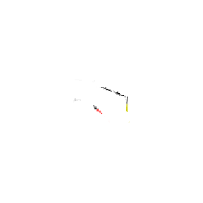 O=C(O)CS.O=CO